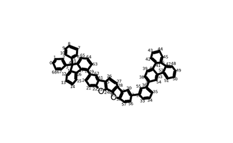 c1ccc(C2(c3ccccc3)c3ccccc3-c3c(-c4ccc5oc6c(ccc7c8cc(-c9cccc(-c%10ccc%11c%12ccccc%12c%12ccccc%12c%11c%10)c9)ccc8oc76)c5c4)cccc32)cc1